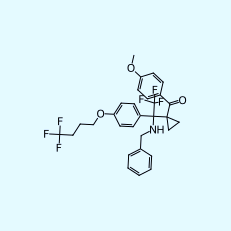 COc1ccc(C(=O)C2(C(NCc3ccccc3)(c3ccc(OCCCC(F)(F)F)cc3)C(F)(F)F)CC2)cc1